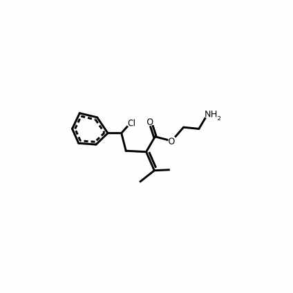 CC(C)=C(CC(Cl)c1ccccc1)C(=O)OCCN